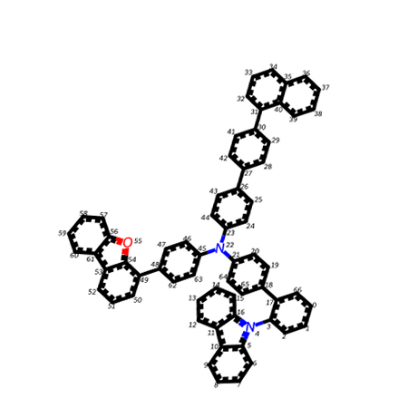 c1ccc(-n2c3ccccc3c3ccccc32)c(-c2ccc(N(c3ccc(-c4ccc(-c5cccc6ccccc56)cc4)cc3)c3ccc(-c4cccc5c4oc4ccccc45)cc3)cc2)c1